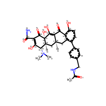 CC(=O)NCc1ccc(-c2ccc(O)c3c2C[C@H]2C[C@H]4[C@H](N(C)C)C(O)=C(C(N)=O)C(=O)[C@@]4(O)C(O)=C2C3=O)cc1